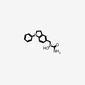 NC(=O)N(O)Cc1ccc2c(c1)CCN2c1ccccc1